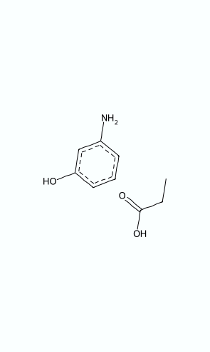 CCC(=O)O.Nc1cccc(O)c1